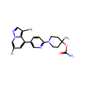 CC1(OC(N)=O)CCN(c2ccc(-c3cc(Br)cn4ncc(C#N)c34)cn2)CC1